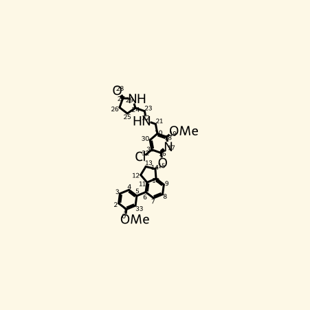 COc1cccc(-c2cccc3c2CC[C@@H]3Oc2nc(OC)c(CNCC3CCC(=O)N3)cc2Cl)c1